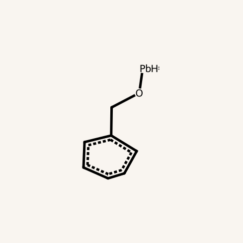 [PbH][O]Cc1ccccc1